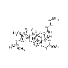 CC(=O)OC1CC[C@]2(C)[C@H]3CC[C@]4(C)[C@@H]([C@H](C)CC[C@@H](C)C(C)C)CC[C@H]4[C@@H]3CC(NCCCN)C2(O)C1